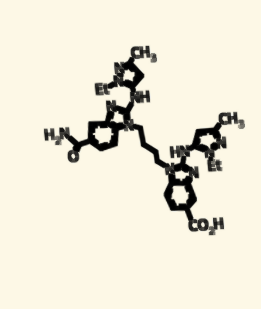 CCn1nc(C)cc1Nc1nc2cc(C(N)=O)ccc2n1CCCCn1c(Nc2cc(C)nn2CC)nc2cc(C(=O)O)ccc21